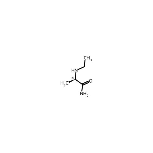 CCN[C@H](C)C(N)=O